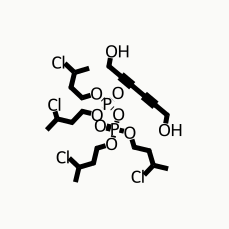 CC(Cl)CCOP(=O)(OCCC(C)Cl)OP(=O)(OCCC(C)Cl)OCCC(C)Cl.OCC#CC#CCO